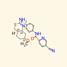 CO[C@H]1CC[C@H]2CSC(N)=N[C@@]2(c2cc(NC(=O)c3ccc(C#N)cn3)ccc2F)C1